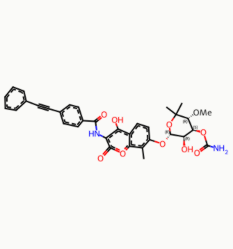 CO[C@@H]1[C@@H](OC(N)=O)[C@@H](O)[C@H](Oc2ccc3c(O)c(NC(=O)c4ccc(C#Cc5ccccc5)cc4)c(=O)oc3c2C)OC1(C)C